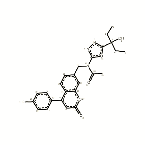 CCC(O)(CC)c1nnc(N(Cc2ccc3c(-c4ccc(F)cc4)cc(=O)oc3c2)C(C)=O)o1